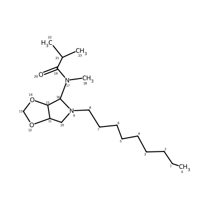 CCCCCCCCCN1CC2OCOC2C1N(C)C(=O)C(C)C